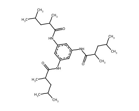 CC(C)CC(C)C(=O)Nc1cc(NC(=O)C(C)CC(C)C)cc(NC(=O)C(C)CC(C)C)c1